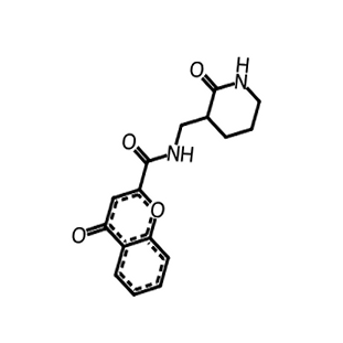 O=C(NCC1CCCNC1=O)c1cc(=O)c2ccccc2o1